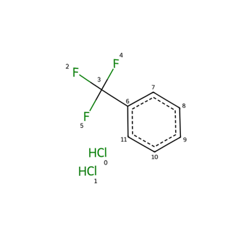 Cl.Cl.FC(F)(F)c1ccccc1